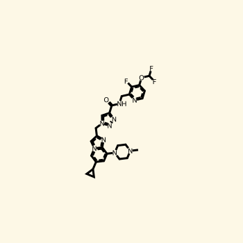 CN1CCN(c2cc(C3CC3)cn3cc(Cn4cc(C(=O)NCc5nccc(OC(F)F)c5F)nn4)nc23)CC1